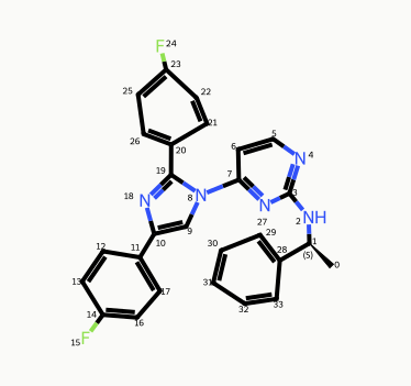 C[C@H](Nc1nccc(-n2cc(-c3ccc(F)cc3)nc2-c2ccc(F)cc2)n1)c1ccccc1